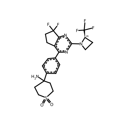 NC1(c2ccc(-c3nc(N4CC[C@@H]4C(F)(F)F)nc4c3CCC4(F)F)cc2)CCS(=O)(=O)CC1